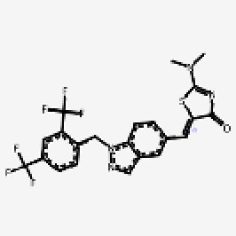 CN(C)C1=NC(=O)/C(=C/c2ccc3c(cnn3Cc3ccc(C(F)(F)F)cc3C(F)(F)F)c2)S1